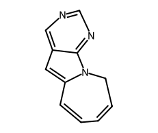 C1=CCn2c(cc3cncnc32)C=C1